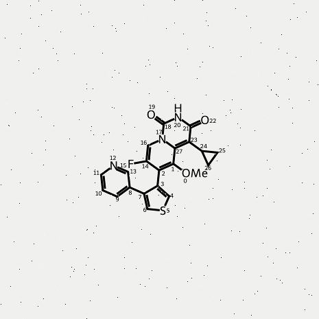 COc1c(-c2cscc2-c2cccnc2)c(F)cn2c(=O)[nH]c(=O)c(C3CC3)c12